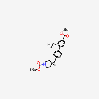 Cc1cc(C(=O)OC(C)(C)C)ccc1-c1ccc(C2CC23CCN(C(=O)OC(C)(C)C)CC3)cc1